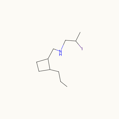 CCCC1CCC1CNCC(C)I